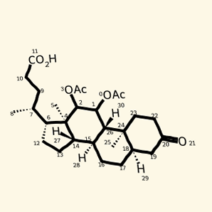 CC(=O)OC1C(OC(C)=O)[C@]2(C)[C@@H]([C@H](C)CCC(=O)O)CC[C@H]2[C@@H]2CC[C@@H]3CC(=O)CC[C@]3(C)[C@@H]12